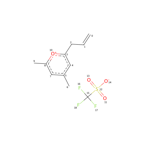 C=CCc1cc(C)cc(C)[o+]1.O=S(=O)([O-])C(F)(F)F